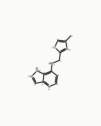 Cc1coc(CNc2ccnc3cn[nH]c23)n1